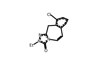 CCn1nc2n(c1=O)C=Cc1cccc(Cl)c1C2